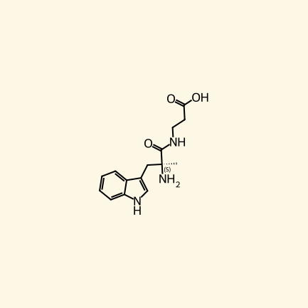 C[C@](N)(Cc1c[nH]c2ccccc12)C(=O)NCCC(=O)O